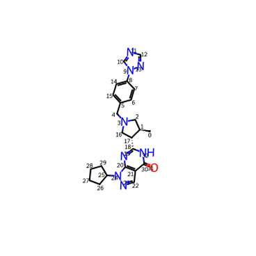 C[C@@H]1CN(Cc2ccc(-n3cncn3)cc2)C[C@H]1c1nc2c(cnn2C2CCCC2)c(=O)[nH]1